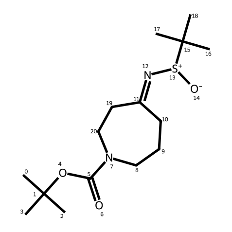 CC(C)(C)OC(=O)N1CCCC(=N[S+]([O-])C(C)(C)C)CC1